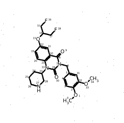 COc1ccc(Cn2c(=O)c3cc(OC(CF)CF)ccc3n(C3CCCNC3)c2=O)cc1OC